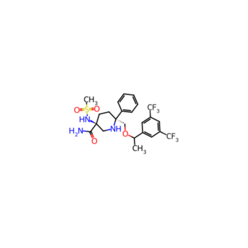 CC(OC[C@@]1(c2ccccc2)CC[C@@](NS(C)(=O)=O)(C(N)=O)CN1)c1cc(C(F)(F)F)cc(C(F)(F)F)c1